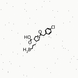 BCCC[C@H]1CN(C(=O)Cc2ccc(Cl)cc2)C[C@H]1C(=O)O